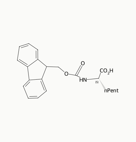 CCCCC[C@H](NC(=O)OCC1c2ccccc2-c2ccccc21)C(=O)O